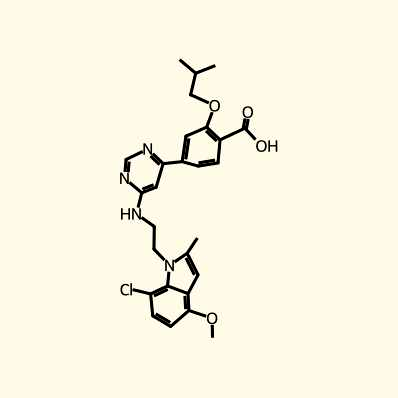 COc1ccc(Cl)c2c1cc(C)n2CCNc1cc(-c2ccc(C(=O)O)c(OCC(C)C)c2)ncn1